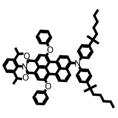 CCCCCC(C)(C)c1ccc(N(c2ccc(C(C)(C)CCCCC)cc2)c2ccc3c4c(Oc5ccccc5)cc5c6c(cc(Oc7ccccc7)c(c7cccc2c73)c64)C(=O)N(c2c(C(C)C)cccc2C(C)C)C5=O)cc1